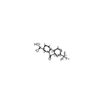 O=C(O)c1ccc2c(c1)C(=O)c1nc(C(F)(F)F)ncc1-2